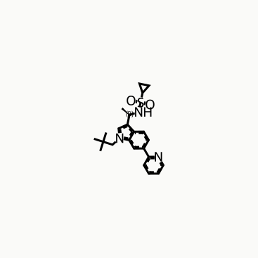 C[C@@H](NS(=O)(=O)C1CC1)c1cn(CC(C)(C)C)c2cc(-c3ccccn3)ccc12